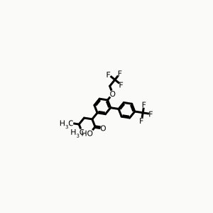 CC(C)CC(C(=O)O)c1ccc(OCC(F)(F)F)c(-c2ccc(C(F)(F)F)cc2)c1